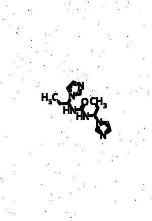 CCC(NC(=O)NC(CC)n1ccnc1)n1ccnc1